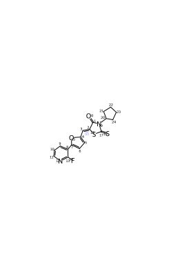 O=C1/C(=C/c2ccc(-c3cccnc3F)o2)SC(=S)N1C1CCCC1